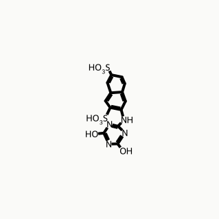 O=S(=O)(O)c1ccc2cc(Nc3nc(O)nc(O)n3)c(S(=O)(=O)O)cc2c1